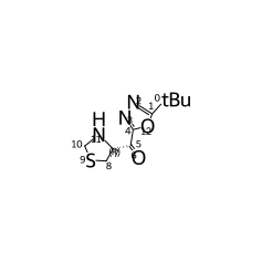 CC(C)(C)c1nnc(C(=O)[C@@H]2CSCN2)o1